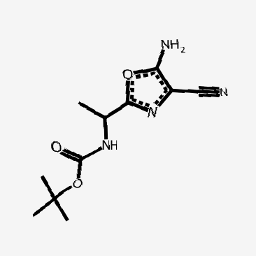 CC(NC(=O)OC(C)(C)C)c1nc(C#N)c(N)o1